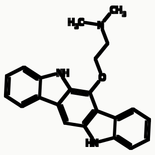 CN(C)CCOc1c2[nH]c3ccccc3c2cc2[nH]c3ccccc3c12